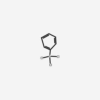 ClS(Cl)(Cl)c1ccccc1